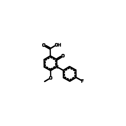 COc1ccc(C(=O)O)c(=O)n1-c1ccc(F)cc1